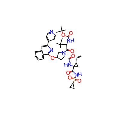 C=C[C@@H]1C[C@]1(NC(=O)[C@@H]1C[C@@H](Oc2nc(-c3ccncc3)cc3ccccc23)CN1C(=O)[C@@H](NC(=O)OC(C)(C)C)C(C)(C)C)C(=O)NS(=O)(=O)C1CC1